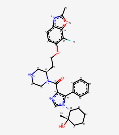 Cc1nc2ccc(OCC[C@@H]3CNCCN3C(=O)c3ncn([C@@H]4CCCC[C@]4(C)O)c3-c3ccccc3)c(F)c2o1